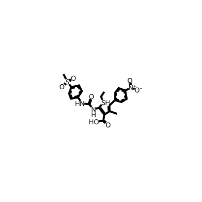 CC[SH]1C(NC(=O)Nc2ccc(S(C)(=O)=O)cc2)=C(C(=O)O)C(C)=C1c1ccc([N+](=O)[O-])cc1